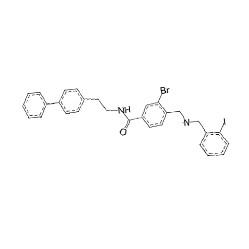 O=C(NCCc1ccc(-c2ccccc2)cc1)c1ccc(C[N]Cc2ccccc2I)c(Br)c1